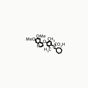 COc1cc2nccc(Oc3cc(C)c(N(CC4CCCCCC4)C(=O)O)cc3C)c2cc1OC